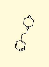 c1ccc(CCN2CCOCC2)cc#1